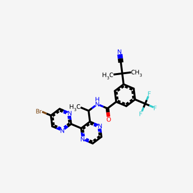 CC(NC(=O)c1cc(C(F)(F)F)cc(C(C)(C)C#N)c1)c1nccnc1-c1ncc(Br)cn1